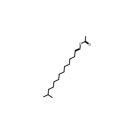 CC(=O)OC=CCCCCCCCCCCC(C)C